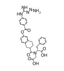 N=C(N=NN)Nc1ccc(C(=O)Oc2ccc3c(c2)CCC(C(=O)N(CC(=O)O)[C@@H](Cc2ccccc2)C(=O)O)C3)cc1